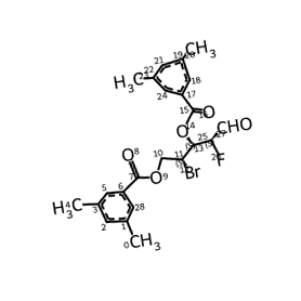 Cc1cc(C)cc(C(=O)OC[C@H](Br)[C@@H](OC(=O)c2cc(C)cc(C)c2)[C@H](F)C=O)c1